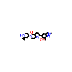 Cc1c(O)c(-c2ccc3c(=O)n([C@@H]4CCNC5(CC5)C4)ccc3n2)cc2cn(C)nc12